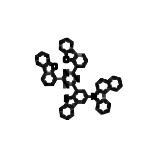 c1ccc2c(c1)ccc1c2c2ccccc2n1-c1cc(-c2nc(-c3cccc4c3oc3ccccc34)nc(-c3cccc4c3oc3ccccc34)n2)c2sc3ccccc3c2c1